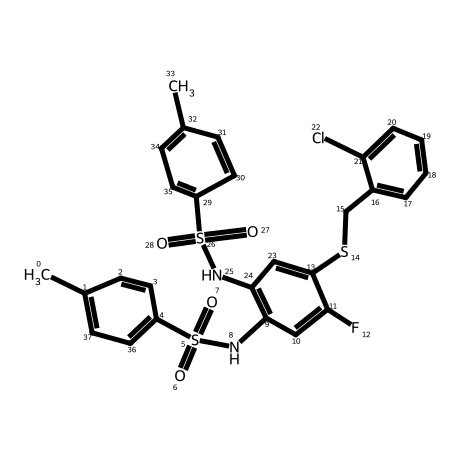 Cc1ccc(S(=O)(=O)Nc2cc(F)c(SCc3ccccc3Cl)cc2NS(=O)(=O)c2ccc(C)cc2)cc1